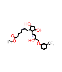 CC(C)OC(=O)CCC/C=C\C[C@@H]1[C@H](/C=C/[C@@H](O)COc2cccc(C(F)(F)F)c2)[C@H](O)C[C@@H]1O